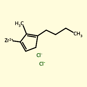 CCCCC1=C(C)[C]([Zr+2])=CC1.[Cl-].[Cl-]